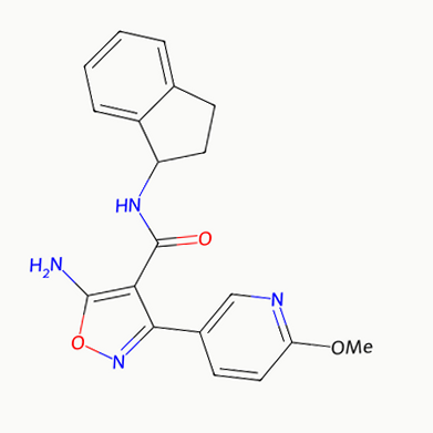 COc1ccc(-c2noc(N)c2C(=O)NC2CCc3ccccc32)cn1